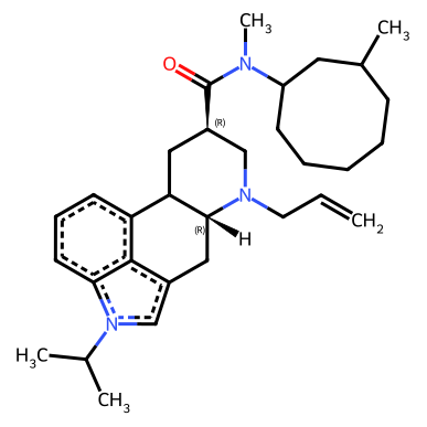 C=CCN1C[C@H](C(=O)N(C)C2CCCCCC(C)C2)CC2c3cccc4c3c(cn4C(C)C)C[C@H]21